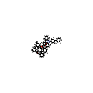 c1ccc(-c2ccc(N(c3ccc(-c4ccc5c(c4)C4(c6ccccc6-5)c5ccccc5C5(c6ccccc6-c6ccccc65)c5ccccc54)cc3)c3ccccc3-c3ccccc3)cc2)cc1